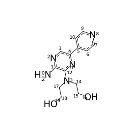 Nc1ncc(-c2ccncc2)nc1N(CCO)CCO